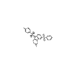 Cc1ccc(S(=O)(=O)n2c3c(c4cc(S(=O)(=O)c5ccccc5)ccc42)CN(C)CC3)cc1